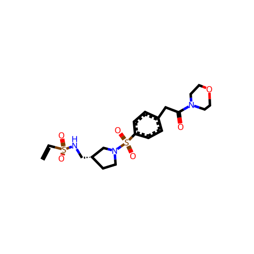 C=CS(=O)(=O)NC[C@H]1CCN(S(=O)(=O)c2ccc(CC(=O)N3CCOCC3)cc2)C1